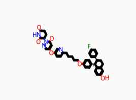 O=C1CCC(n2ncc(Oc3ccc(CCCCCOc4ccc([C@@H]5c6ccc(O)cc6CC[C@@H]5c5ccc(F)cc5)cc4)nc3)cc2=O)C(=O)N1